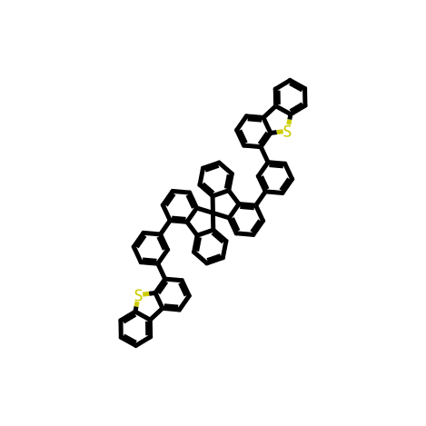 c1cc(-c2cccc3c2-c2ccccc2C32c3ccccc3-c3c(-c4cccc(-c5cccc6c5sc5ccccc56)c4)cccc32)cc(-c2cccc3c2sc2ccccc23)c1